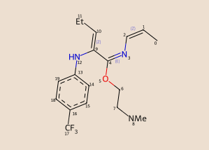 C\C=C/N=C(OCCNC)\C(=C\CC)Nc1ccc(C(F)(F)F)cc1